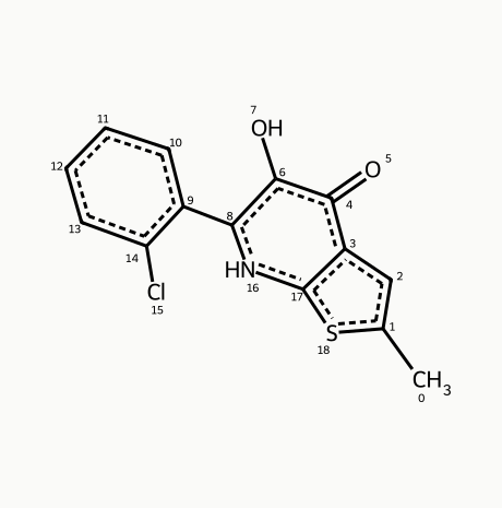 Cc1cc2c(=O)c(O)c(-c3ccccc3Cl)[nH]c2s1